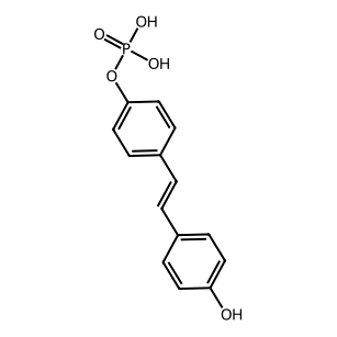 O=P(O)(O)Oc1ccc(C=Cc2ccc(O)cc2)cc1